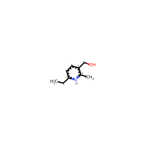 CCc1ccc(CO)c(C)n1